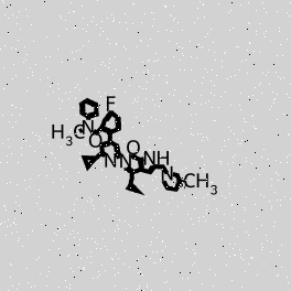 C[C@H]1CCCN(Cc2cc3c(C4CC4)cn(-c4cc(-c5ccc(F)cc5C(=O)N(C)c5ccccc5)cc(C5CC5)n4)c(=O)c3[nH]2)C1